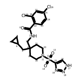 O=C(NCC1(CC2CC2)CCN(S(=O)(=O)c2c[nH]nn2)CC1)c1ccc(Cl)cc1Cl